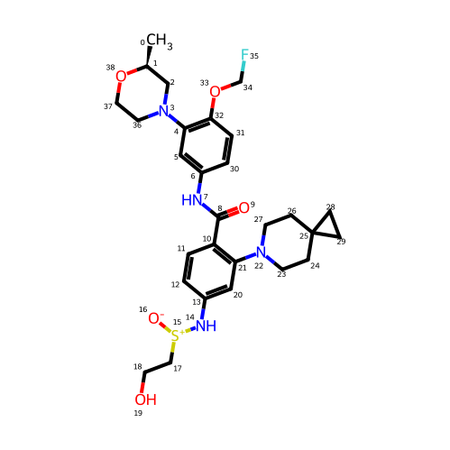 C[C@H]1CN(c2cc(NC(=O)c3ccc(N[S+]([O-])CCO)cc3N3CCC4(CC3)CC4)ccc2OCF)CCO1